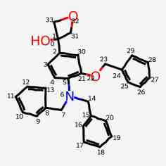 OC1(c2ccc(N(Cc3ccccc3)Cc3ccccc3)c(OCc3ccccc3)c2)COC1